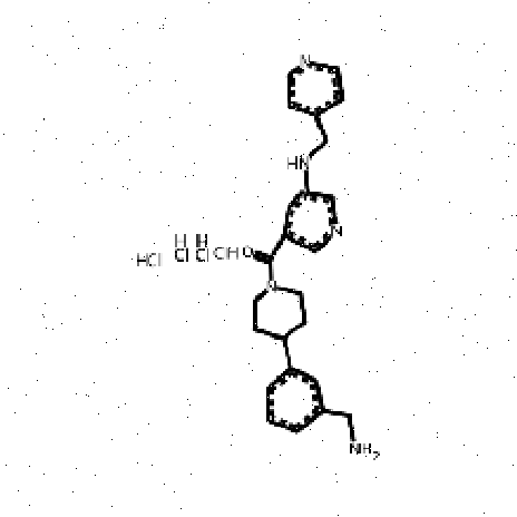 Cl.Cl.Cl.Cl.NCc1cccc(C2CCN(C(=O)c3cncc(NCc4ccncc4)c3)CC2)c1